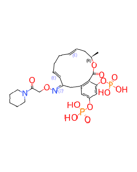 C[C@@H]1C/C=C/CC/C=C/C(=N\OCC(=O)N2CCCCC2)Cc2cc(OP(=O)(O)O)cc(OP(=O)(O)O)c2C(=O)O1